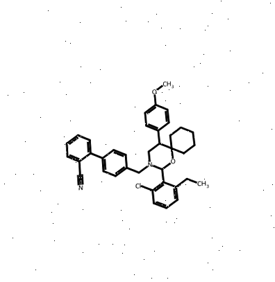 CCc1cccc(Cl)c1C1OC2(CCCCC2)C(c2ccc(OC)cc2)CN1Cc1ccc(-c2ccccc2C#N)cc1